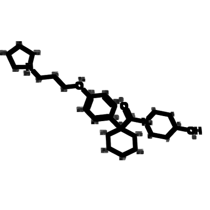 O=C(N1CCC(O)CC1)C1(c2ccc(OCCCN3CCCC3)cc2)CCCCC1